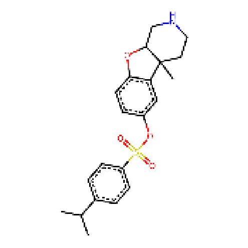 CC(C)c1ccc(S(=O)(=O)Oc2ccc3c(c2)C2(C)CCNCC2O3)cc1